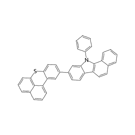 c1ccc(-n2c3cc(-c4ccc5c(c4)-c4cccc6cccc(c46)S5)ccc3c3ccc4ccccc4c32)cc1